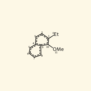 CCc1ccc2ccccc2c1OC